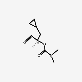 CN(C)C(=O)O[C@@](C)(C=O)CC1CC1